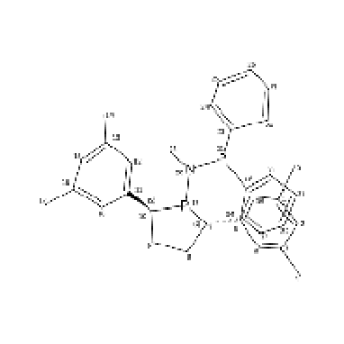 Cc1cc(C)cc([C@@H]2CC[C@@H](c3cc(C)cc(C)c3)P2N(C)P(c2ccccc2)c2ccccc2)c1